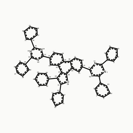 c1ccc(-c2nc(-c3ccccc3)nc(-c3ccc4c5ccc(-c6nc(-c7ccccc7)nc(-c7ccccc7)n6)cc5c5c(-c6ccccc6)c(-c6ccccc6)oc5c4c3)n2)cc1